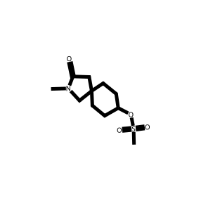 CN1CC2(CCC(OS(C)(=O)=O)CC2)CC1=O